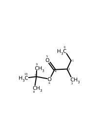 CC[C](C)C(=O)OC(C)(C)C